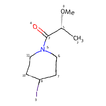 CO[C@H](C)C(=O)N1CCC(I)CC1